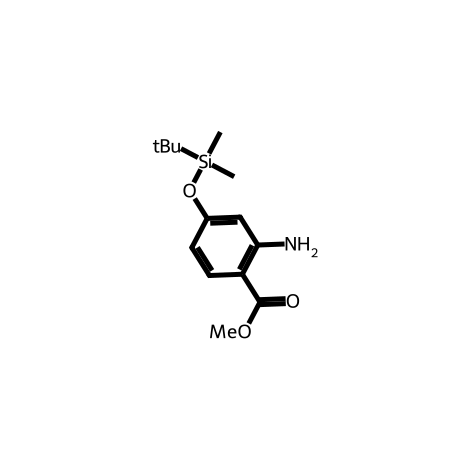 COC(=O)c1ccc(O[Si](C)(C)C(C)(C)C)cc1N